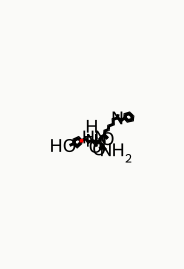 CN(CCCCCC(=O)N[C@H](CC(N)=O)C(=O)NCCc1ccc(O)cc1)Cc1ccccc1